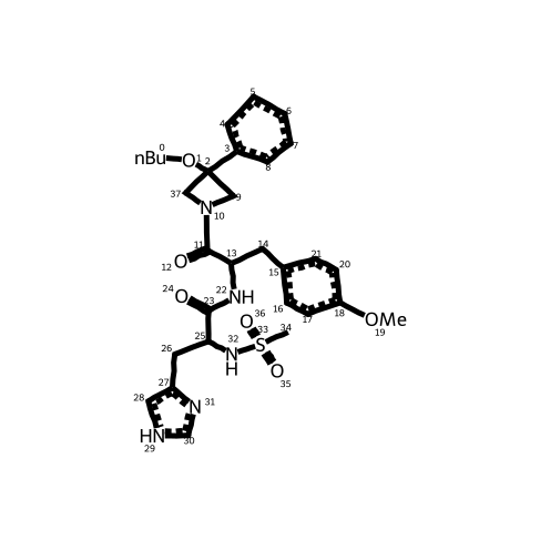 CCCCOC1(c2ccccc2)CN(C(=O)C(Cc2ccc(OC)cc2)NC(=O)C(Cc2c[nH]cn2)NS(C)(=O)=O)C1